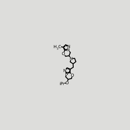 Cc1cnn2c1OCC(N1CCC(Cc3cnn4c3OCC(OC(C)C)C4)C1)C2